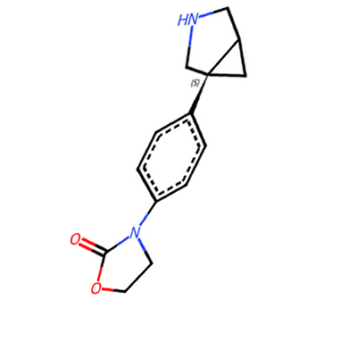 O=C1OCCN1c1ccc([C@@]23CNCC2C3)cc1